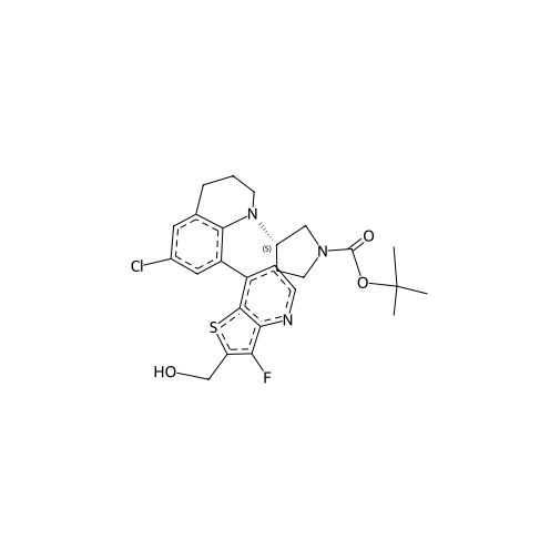 CC(C)(C)OC(=O)N1CC[C@H](N2CCCc3cc(Cl)cc(-c4ccnc5c(F)c(CO)sc45)c32)C1